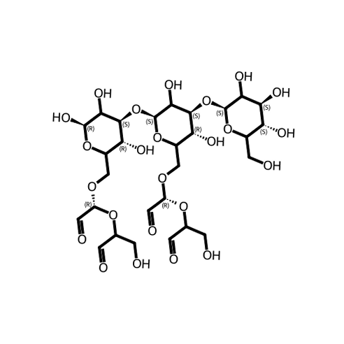 O=CC(CO)O[C@H](C=O)OCC1O[C@@H](O[C@@H]2C(O)[C@H](O)OC(CO[C@@H](C=O)OC(C=O)CO)[C@H]2O)C(O)[C@@H](O[C@@H]2OC(CO)[C@@H](O)[C@H](O)C2O)[C@@H]1O